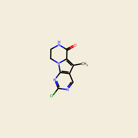 Cc1c2n(c3nc(Cl)ncc13)CCNC2=O